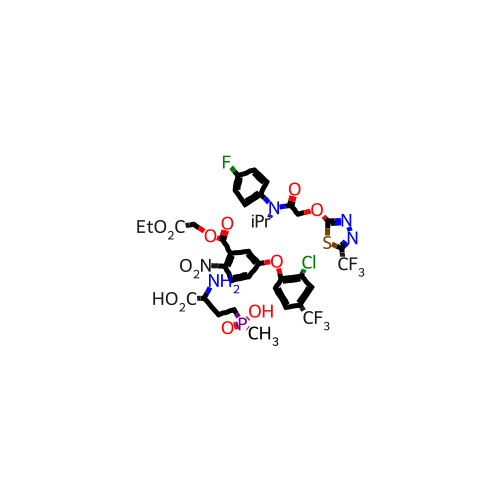 CC(C)N(C(=O)COc1nnc(C(F)(F)F)s1)c1ccc(F)cc1.CCOC(=O)COC(=O)c1cc(Oc2ccc(C(F)(F)F)cc2Cl)ccc1[N+](=O)[O-].CP(=O)(O)CCC(N)C(=O)O